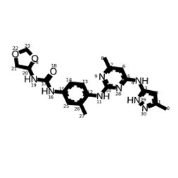 Cc1cc(Nc2cc(C)nc(Nc3ccc(NC(=O)NC4COCO4)cc3C)n2)[nH]n1